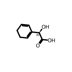 O=C(O)[C@H](O)C1=CCCC=C1